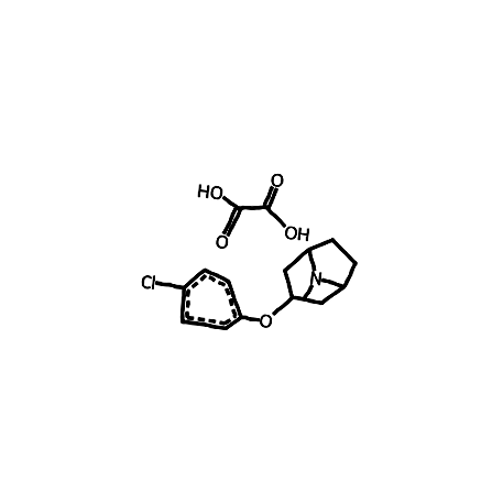 CN1C2CCC1CC(Oc1ccc(Cl)cc1)C2.O=C(O)C(=O)O